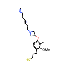 C=NCC/C=C/CCN1CC(Oc2ccc(CCCS)c(OC)c2C)C1